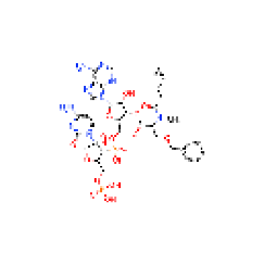 C=CCCC(=O)N(C)[C@@H](COCc1ccccc1)C(=O)O[C@@H]1[C@@H](COP(=O)(O)[C@@H]2C(COP(=O)(O)O)OC[C@@]2(O)n2ccc(N)nc2=O)OC(n2cnc3c(N)ncnc32)[C@@H]1O